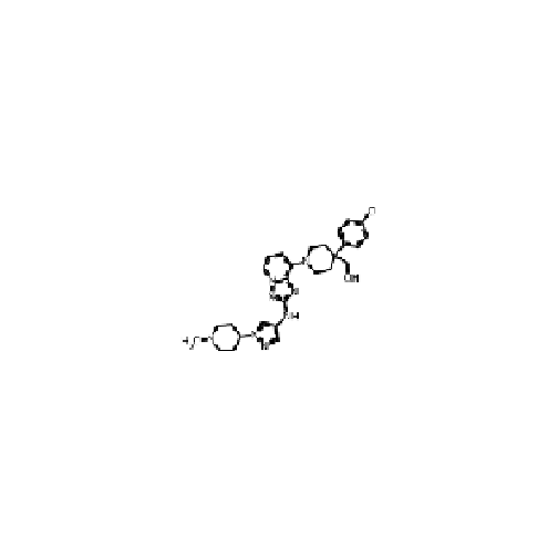 CN1CCC(n2cc(Nc3nc4c(N5CCC(CO)(c6ccc(Cl)cc6)CC5)cccn4n3)cn2)CC1